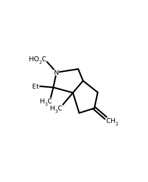 C=C1CC2CN(C(=O)O)C(C)(CC)C2(C)C1